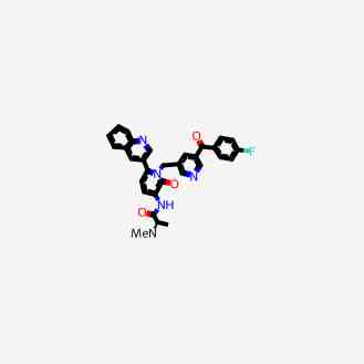 CN[C@H](C)C(=O)Nc1ccc(-c2cnc3ccccc3c2)n(Cc2cncc(C(=O)c3ccc(F)cc3)c2)c1=O